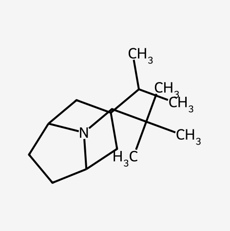 CC(C)C1CC2CCC(C1)N2CC(C)(C)C